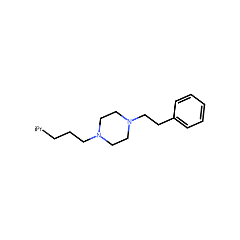 CC(C)CCCN1CCN(CCc2ccccc2)CC1